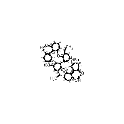 C=Cc1cc(C(C)(C)C)cc(-c2cc(C(C)(C)C)cc(C=C)c2Oc2cccc3o[pH]oc4ccccc4c23)c1Oc1cccc2o[pH]oc3ccccc3c12